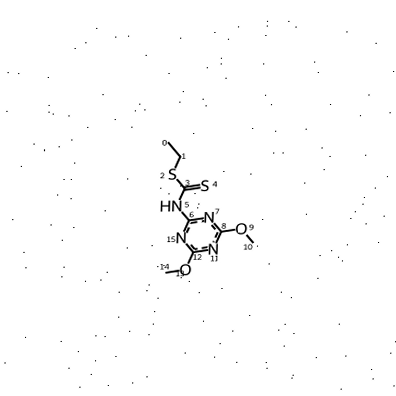 CCSC(=S)Nc1nc(OC)nc(OC)n1